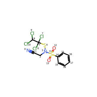 N#CCN(SC(Cl)(Cl)C(Cl)Cl)S(=O)(=O)c1ccccc1